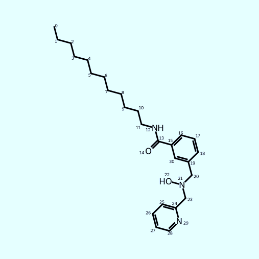 CCCCCCCCCCCCNC(=O)c1cccc(CN(O)Cc2ccccn2)c1